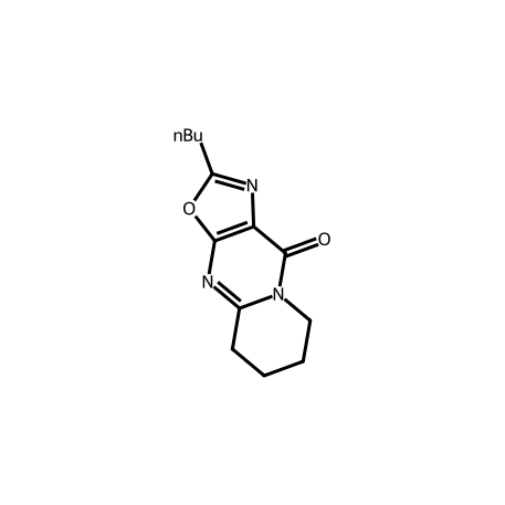 CCCCc1nc2c(=O)n3c(nc2o1)CCCC3